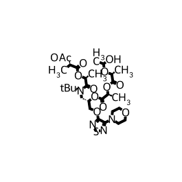 CC(=O)O[C@@H](C)C(=O)O[C@@H](C)C(=O)N(C[C@@H](COc1nsnc1N1CCOCC1)OC(=O)[C@H](C)OC(=O)[C@H](C)OC(C)O)C(C)(C)C